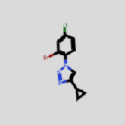 Clc1ccc(-n2cc(C3CC3)nn2)c(Br)c1